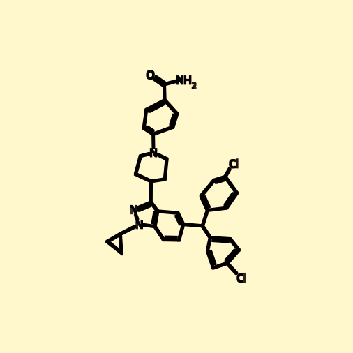 NC(=O)c1ccc(N2CCC(c3nn(C4CC4)c4ccc(C(c5ccc(Cl)cc5)c5ccc(Cl)cc5)cc34)CC2)cc1